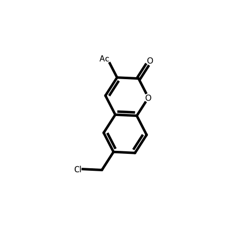 CC(=O)c1cc2cc(CCl)ccc2oc1=O